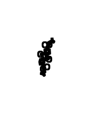 C=C(C)COC(=O)c1cccc(N2C(=O)c3ccc(C(=O)OCC(=C)C)cc3C2=O)c1